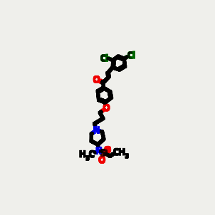 CCS(=O)(=O)N(C)C1CCN(CCCOc2ccc(C(=O)/C=C/c3ccc(Cl)cc3Cl)cc2)CC1